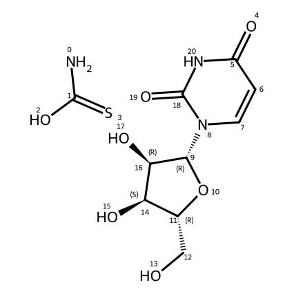 NC(O)=S.O=c1ccn([C@@H]2O[C@H](CO)[C@@H](O)[C@H]2O)c(=O)[nH]1